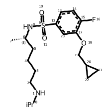 CC(C)NCCCC[C@H](C)NS(=O)(=O)c1ccc(F)c(OCC2CC2)c1